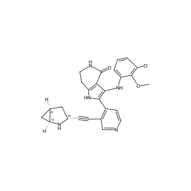 COc1c(Cl)cccc1Nc1c(-c2ccncc2C#C[C@H]2C[C@@H]3C[C@@H]3N2)[nH]c2c1C(=O)NCC2